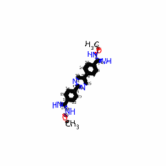 CONC(=N)c1ccc(-c2cnc(-c3ccc(C(=N)NOC)cc3)nc2)cc1